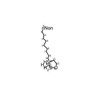 CCCCCCCCCCCCCCCCCC[SiH]1CCO[SiH2][SiH2]1